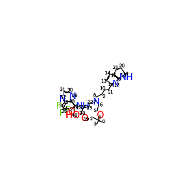 CC(C)(C)OCCN(CCCCc1ccc2c(n1)NCCC2)CCC(NC(=O)c1nccnc1C(F)(F)F)C(=O)O